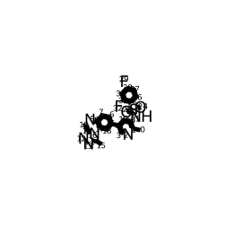 Cc1ncc(-c2ccc3ncc4nnc(C)n4c3c2)cc1NS(=O)(=O)c1ccc(F)cc1F